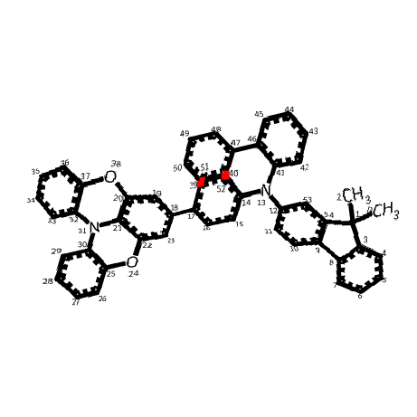 CC1(C)c2ccccc2-c2ccc(N(c3ccc(-c4cc5c6c(c4)Oc4ccccc4N6c4ccccc4O5)cc3)c3ccccc3-c3ccccc3)cc21